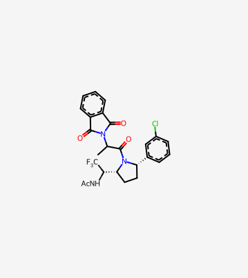 CC(=O)NC([C@H]1CC[C@@H](c2cccc(Cl)c2)N1C(=O)C(C)N1C(=O)c2ccccc2C1=O)C(F)(F)F